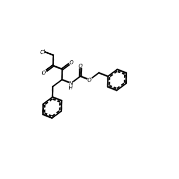 O=C(NC(Cc1ccccc1)C(=O)C(=O)CCl)OCc1ccccc1